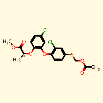 COC(=O)[C@H](C)Oc1ccc(Cl)cc1Oc1ccc(SCOC(C)=O)cc1Cl